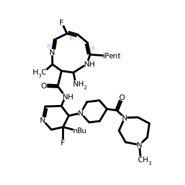 CCCCC1(F)CN=CC(NC(=O)C2C(C)\N=C/C(F)=C\C=C(\C(C)CCC)NC2N)C1N1CCC(C(=O)N2CCCN(C)CC2)CC1